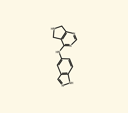 c1nc2c(c(Nc3ccc4[nH]ncc4c3)n1)CNC2